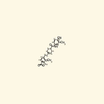 Cc1nc(NC(=O)C2CCN(CCc3ccc4c(c3C)COC4=O)CC2)ccc1C#N